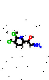 NCC(=O)c1ccc(Cl)c(Cl)n1